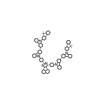 CC1(C)c2ccccc2-c2ccc(-n3c4ccccc4c4cc(-c5ccc6c(c5)c5ccccc5n6-c5ccc(-c6nc(-c7ccc(-n8c9ccccc9c9cc(-c%10ccc%11c(c%10)c%10ccccc%10n%11-c%10ccc%11c(c%10)C(C)(C)c%10ccccc%10-%11)ccc98)cc7)c7c(n6)-c6cccc8cccc-7c68)cc5)ccc43)cc21